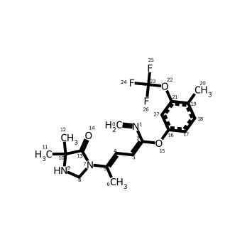 C=N/C(=C\C=C(/C)N1CNC(C)(C)C1=O)Oc1ccc(C)c(OC(F)(F)F)c1